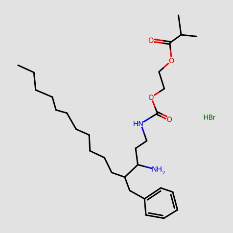 Br.CCCCCCCCCCCC(Cc1ccccc1)C(N)CCNC(=O)OCCOC(=O)C(C)C